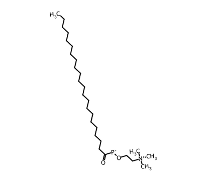 CCCCCCCCCCCCCCCCCCCCCC(=O)[P-]OCC[N+](C)(C)C